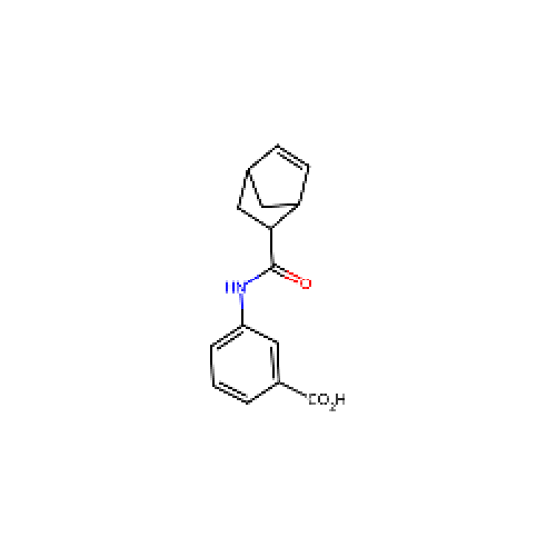 O=C(O)c1cccc(NC(=O)C2CC3C=CC2C3)c1